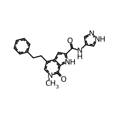 Cn1cc(CCc2ccccc2)c2cc(C(=O)Nc3cn[nH]c3)[nH]c2c1=O